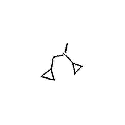 CN(CC1[CH]C1)C1CC1